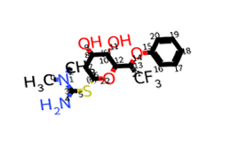 CN(C)C(N)S[C@@H]1CC(O)[C@H](O)C(C(Oc2ccccc2)C(F)(F)F)O1